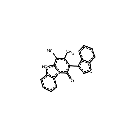 Cc1c(-c2csc3ccccc23)c(=O)n2c([nH]c3ccccc32)c1C#N